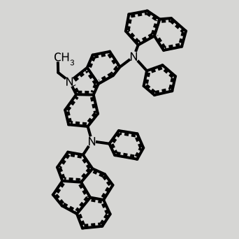 CCn1c2ccc(N(c3ccccc3)c3cccc4ccccc34)cc2c2cc(N(c3ccccc3)c3ccc4ccc5cccc6ccc3c4c56)ccc21